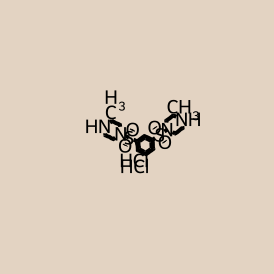 CC1CN(S(=O)(=O)c2cccc(S(=O)(=O)N3CCNC(C)C3)c2)CCN1.Cl.Cl